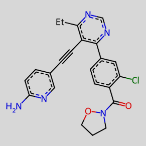 CCc1ncnc(-c2ccc(C(=O)N3CCCO3)c(Cl)c2)c1C#Cc1ccc(N)nc1